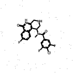 CN(C(=O)c1cc(F)c(Cl)c(F)c1)C1CNCc2[nH]c(=O)c3cc(F)ccc3c21